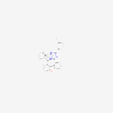 Clc1cccc(-c2nc(-c3ccccc3)nc(-c3cccc4oc5cccc(-c6ccccc6)c5c34)n2)c1